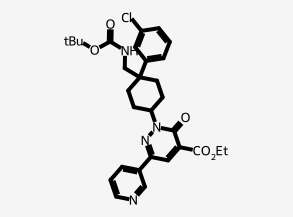 CCOC(=O)c1cc(-c2cccnc2)nn(C2CCC(CNC(=O)OC(C)(C)C)(c3cccc(Cl)c3)CC2)c1=O